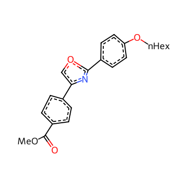 CCCCCCOc1ccc(-c2nc(-c3ccc(C(=O)OC)cc3)co2)cc1